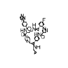 Cn1cc(C(=O)Nc2ccc([C@@H]3C(CN4CCN(C(=O)[C@H](CCCN[C@@H]5C[C@H]5c5ccc(F)cc5)NC(=O)c5ccc(-n6ccnn6)cc5)CC4)[C@H]3NCC3CC3)cc2)cn1